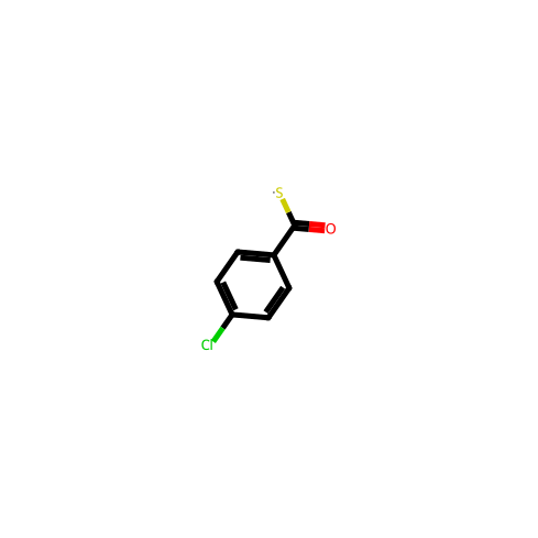 O=C([S])c1ccc(Cl)cc1